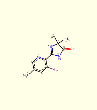 Cc1cnc(C2=NC(C)(C(C)C)C(=O)N2)c(I)c1